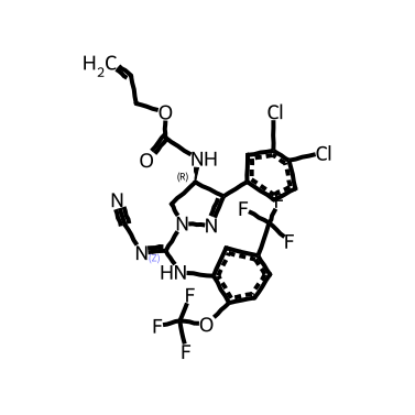 C=CCOC(=O)N[C@@H]1CN(/C(=N\C#N)Nc2cc(C(F)(F)F)ccc2OC(F)(F)F)N=C1c1ccc(Cl)c(Cl)c1